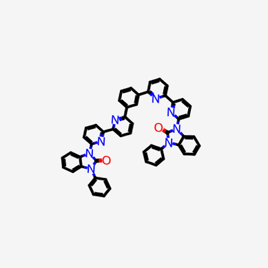 O=c1n(-c2ccccc2)c2ccccc2n1-c1cccc(-c2cccc(-c3cccc(-c4cccc(-c5cccc(-n6c(=O)n(-c7ccccc7)c7ccccc76)n5)n4)c3)n2)n1